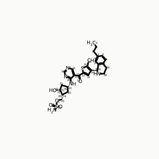 CCCc1ccc2c(c1)[C@H](c1cc(C(=O)c3cncnc3N[C@@H]3C[C@H](COS(N)(=O)=O)[C@@H](O)C3)sc1C)NCC2